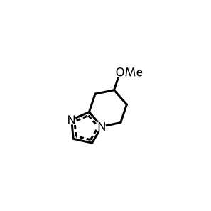 COC1CCn2ccnc2C1